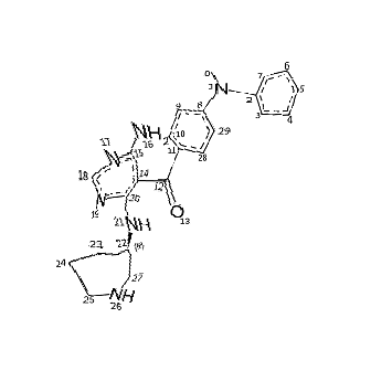 CN(c1ccccc1)c1ccc(C(=O)c2c(N)ncnc2N[C@@H]2CCCNC2)cc1